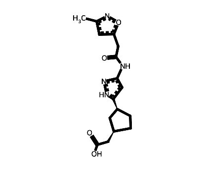 Cc1cc(CC(=O)Nc2cc([C@H]3CC[C@@H](CC(=O)O)C3)[nH]n2)on1